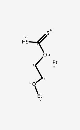 CCOCCOC(=S)S.[Pt]